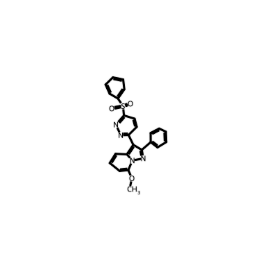 COc1cccc2c(-c3ccc(S(=O)(=O)c4ccccc4)nn3)c(-c3ccccc3)nn12